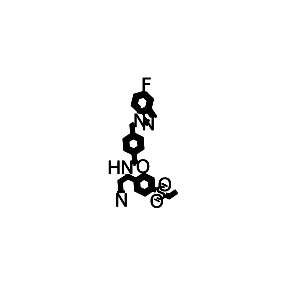 CCS(=O)(=O)c1ccc(C(CC#N)NC(=O)c2ccc(Cn3ncc4cc(F)ccc43)cc2)cc1